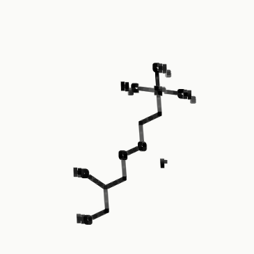 C[N+](C)(C)CCOOCC(O)CO.[I-]